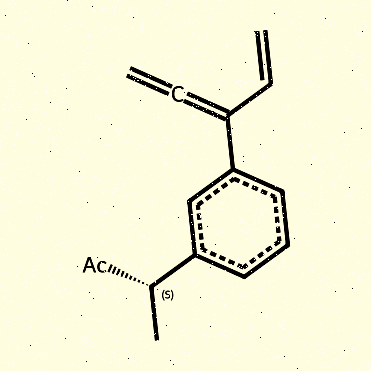 C=C=C(C=C)c1cccc([C@H](C)C(C)=O)c1